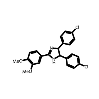 COc1ccc(C2=NC(c3ccc(Cl)cc3)C(c3ccc(Cl)cc3)N2)cc1OC